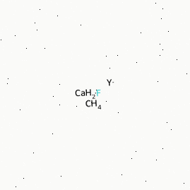 C.[CaH2].[F].[Y]